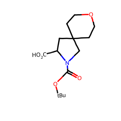 CC(C)(C)OC(=O)N1CC2(CCOCC2)CC1C(=O)O